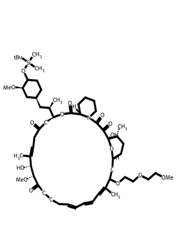 COCCOCCOC1C[C@@H]2CC[C@@H](C)[C@@](O)(O2)C(=O)C(=O)N2CCCC[C@H]2C(=O)O[C@H]([C@H](C)C[C@@H]2CCC(O[Si](C)(C)C(C)(C)C)[C@H](OC)C2)CC(=O)C/C=C(\C)[C@@H](O)[C@@H](OC)C(=O)CCC/C=C/C=C/C=C/1C